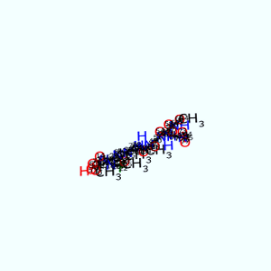 CC[C@@]1(O)C(=O)OCc2c1cc1n(c2=O)Cc2c-1nc1cc(F)c(OC)cc1c2CN1CCC(N(C)Cc2ccc(NC(=O)[C@H](C)NC(=O)CCCNC(=O)[C@H](CCC(=O)NCCOC)NC(=O)CCCN3C(=O)C=CC3=O)cc2)CC1